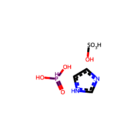 O=S(=O)(O)O.O=[PH](O)O.c1c[nH]cn1